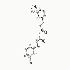 COc1cccc(CCC(=O)CC(=O)OCc2cccc(F)c2)c1